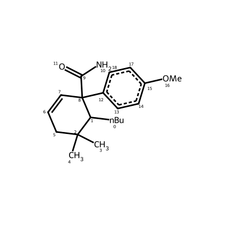 CCCCC1C(C)(C)CC=CC1(C(N)=O)c1ccc(OC)cc1